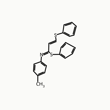 Cc1ccc(N=C(C=CSc2ccccc2)Sc2ccccc2)cc1